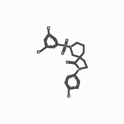 O=C1N(c2ccc(Cl)cc2)CCC12CCCN(S(=O)(=O)c1cc(Cl)cc(Cl)c1)C2